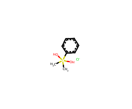 C[S+](C)(O)(O)c1ccccc1.[Cl-]